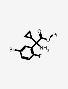 CC(C)OC(=O)C(N)(c1cc(Br)ccc1F)C1CC1